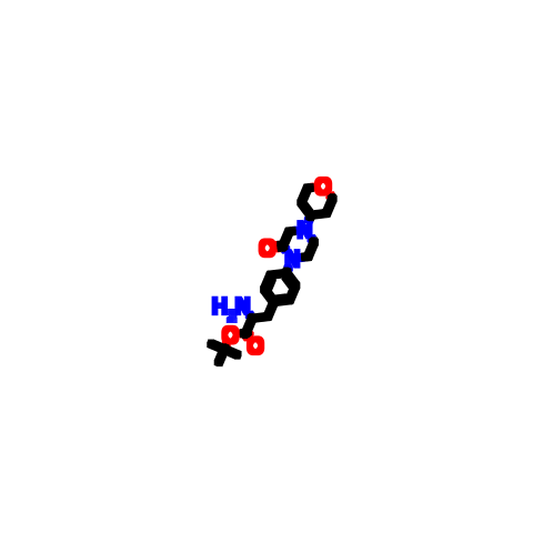 CC(C)(C)OC(=O)C(N)Cc1ccc(N2CCN(C3CCOCC3)CC2=O)cc1